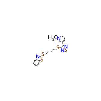 CN1CCC=C(c2nsnc2SCCCCCSc2nc3ccccc3s2)C1